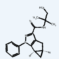 CC(C)(CO)NC(=O)c1nn(-c2ccccc2)c2c1C[C@H]1C[C@@H]21